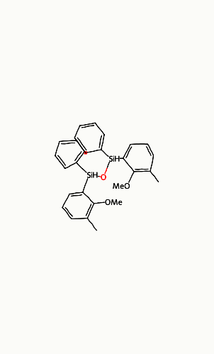 COc1c(C)cccc1[SiH](O[SiH](c1ccccc1)c1cccc(C)c1OC)c1ccccc1